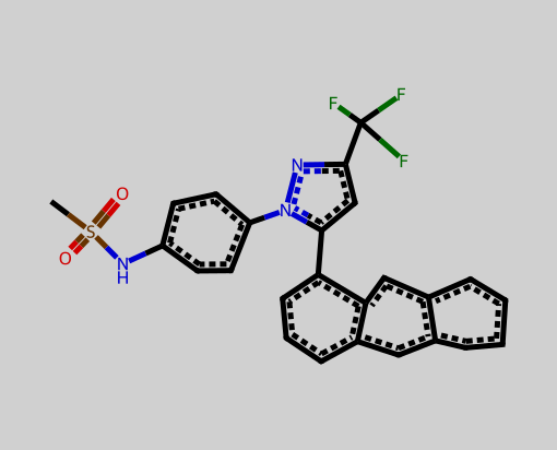 CS(=O)(=O)Nc1ccc(-n2nc(C(F)(F)F)cc2-c2cccc3cc4ccccc4cc23)cc1